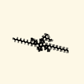 CCCCCCCCCCCCc1cc(-c2c3c(c(-c4cc(CCCCCCCCCCCC)c(Br)s4)c4nn(CC(CC)CCCC)nc24)N=S=N3)sc1Br